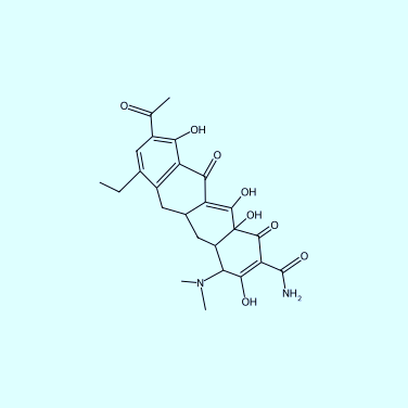 CCc1cc(C(C)=O)c(O)c2c1CC1CC3C(N(C)C)C(O)=C(C(N)=O)C(=O)C3(O)C(O)=C1C2=O